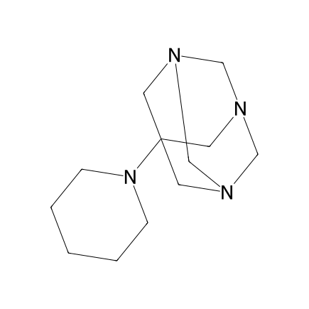 C1CCN(C23CN4CN(CN(C4)C2)C3)CC1